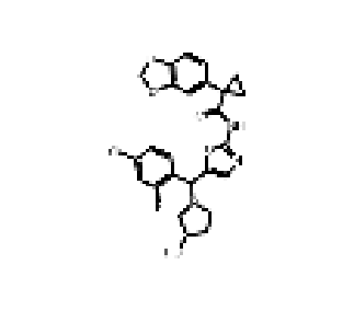 O=C(Nc1ncc([C@H](c2ccc(Cl)cc2F)N2CCC(O)C2)s1)C1(c2ccc3c(c2)OCO3)CC1